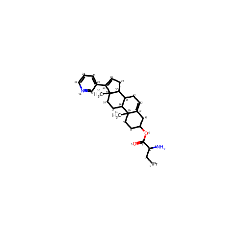 CC(C)CC(N)C(=O)OC1CCC2(C)C(=CCC3C2CCC2(C)C(c4cccnc4)=CCC32)C1